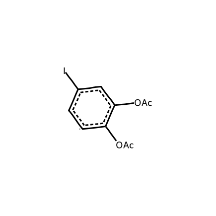 CC(=O)Oc1[c]cc(I)cc1OC(C)=O